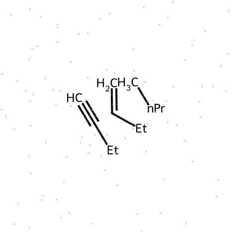 C#CCC.C=CCC.CCCC